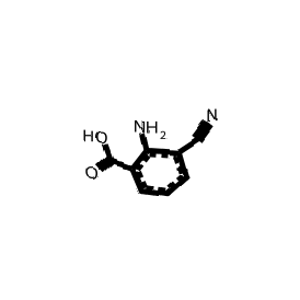 N#Cc1cccc(C(=O)O)c1N